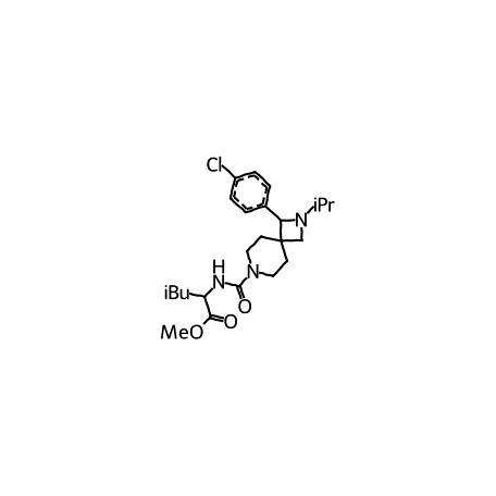 CCC(C)C(NC(=O)N1CCC2(CC1)CN(C(C)C)C2c1ccc(Cl)cc1)C(=O)OC